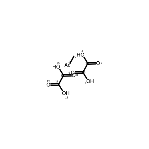 CC(C)=O.O=C(O)C(=O)O.O=C(O)C(=O)O